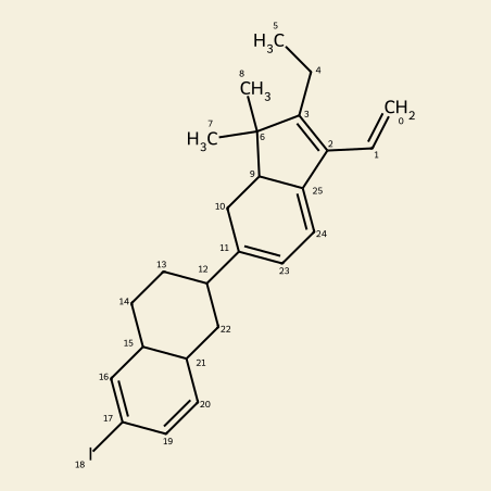 C=CC1=C(CC)C(C)(C)C2CC(C3CCC4C=C(I)C=CC4C3)=CC=C12